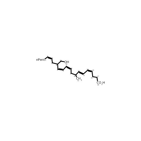 CCCCC/C=C\CC(/C=C\C=C/CC(C)/C=C/C=C\CCC(=O)O)CO